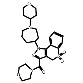 O=C(c1nn(C2CCCN(C3CCOCC3)CC2)c2c1CS(=O)(=O)c1ccccc1-2)N1CCOCC1